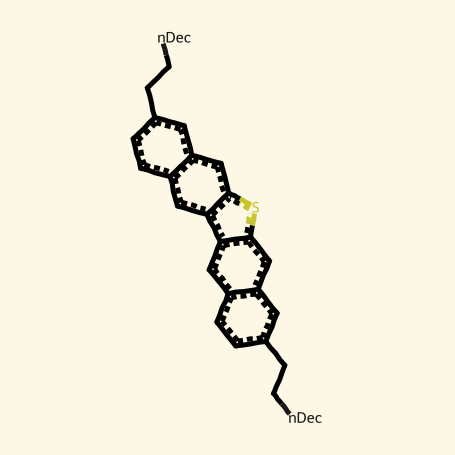 CCCCCCCCCCCCc1ccc2cc3c(cc2c1)sc1cc2cc(CCCCCCCCCCCC)ccc2cc13